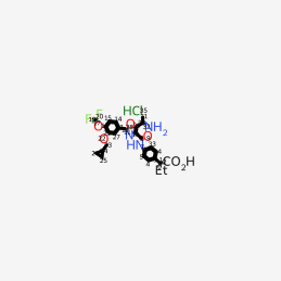 CCC(C(=O)O)c1ccc(NC(=O)c2nc(-c3ccc(OC(F)F)c(OCC4CC4)c3)oc2C(C)N)cc1.Cl